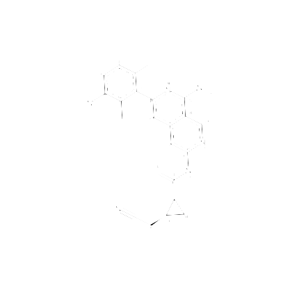 Cc1c(N)ccc(Cl)c1-c1cc2cc(NC(=O)[C@@H]3C[C@H]3CC#N)ncc2c(N)n1